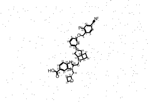 N#Cc1ccc(COc2cccc(N3CC4N(Cc5nc6ccc(C(=O)O)cc6n5C[C@@H]5CCO5)C5CCC54C3)n2)c(F)c1